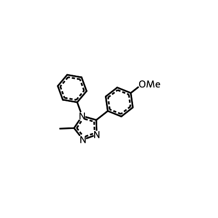 COc1ccc(-c2nnc(C)n2-c2ccccc2)cc1